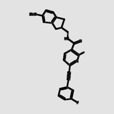 COc1ccc2c(c1)CC(CNC(=O)c1ccc(C#Cc3cccc(F)c3)nc1C)C2